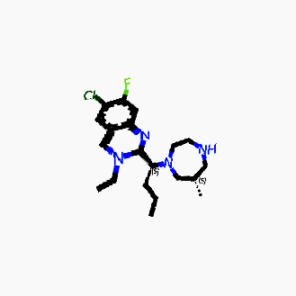 CCC[C@@H](C1N=c2cc(F)c(Cl)cc2=CN1CC)N1CCNC[C@H](C)C1